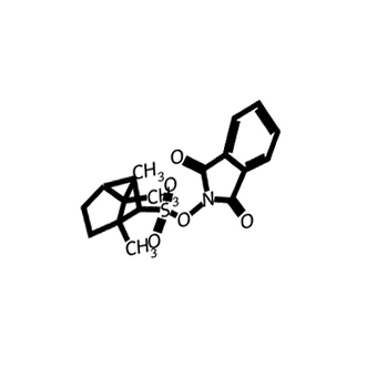 CC1(C)C2CCC1(C)C(S(=O)(=O)ON1C(=O)c3ccccc3C1=O)C2